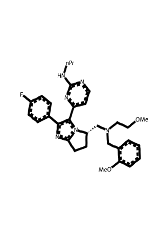 CCCNc1nccc(-c2c(-c3ccc(F)cc3)nc3n2[C@H](CN(CCOC)Cc2ccccc2OC)CC3)n1